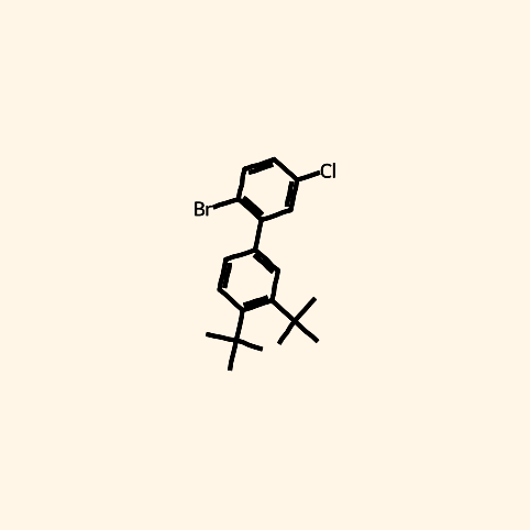 CC(C)(C)c1ccc(-c2cc(Cl)ccc2Br)cc1C(C)(C)C